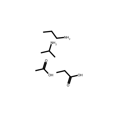 CC(=O)O.CC(C)N.CCC(=O)O.CCCN